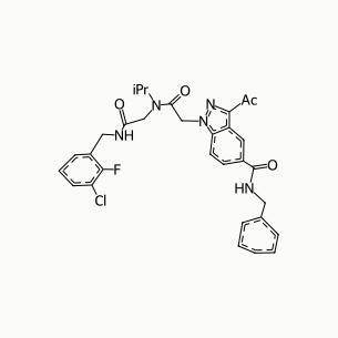 CC(=O)c1nn(CC(=O)N(CC(=O)NCc2cccc(Cl)c2F)C(C)C)c2ccc(C(=O)NCc3ccccc3)cc12